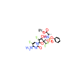 CC(C)OC(=O)[C@H](C)NP(=O)(OC[C@@]1(C(F)F)O[C@@H](n2cc(F)c(N)nc2=O)[C@@H](F)[C@@H]1O)Oc1ccccc1